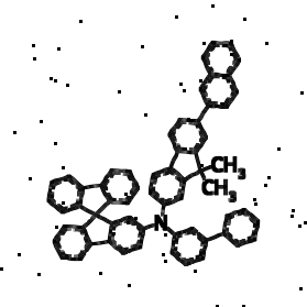 CC1(C)c2cc(-c3ccc4ccccc4c3)ccc2-c2ccc(N(c3cccc(-c4ccccc4)c3)c3ccc4c(c3)C3(c5ccccc5-c5ccccc53)c3ccccc3-4)cc21